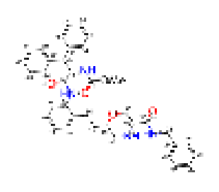 COC(=O)N[C@H](C(=O)Nc1ccccc1CC[C@@H]1CN[C@H](C(=O)NCc2ccccc2)CO1)C(c1ccccc1)c1ccccc1